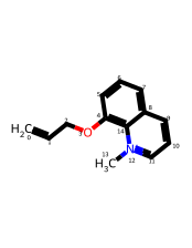 C=CCOc1cccc2ccc[n+](C)c12